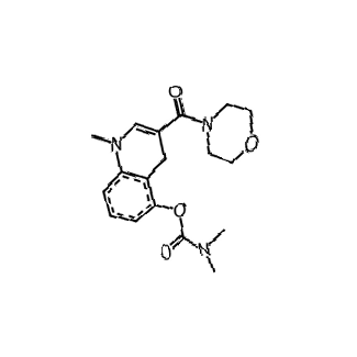 CN(C)C(=O)Oc1cccc2c1CC(C(=O)N1CCOCC1)=CN2C